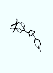 CN1CCC(n2cc(C3OC(C)(C)C(C)(C)O3)cn2)CC1